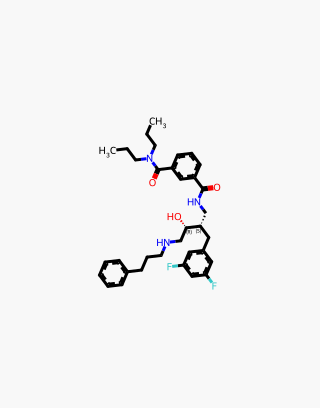 CCCN(CCC)C(=O)c1cccc(C(=O)NC[C@H](Cc2cc(F)cc(F)c2)[C@@H](O)CNCCCc2ccccc2)c1